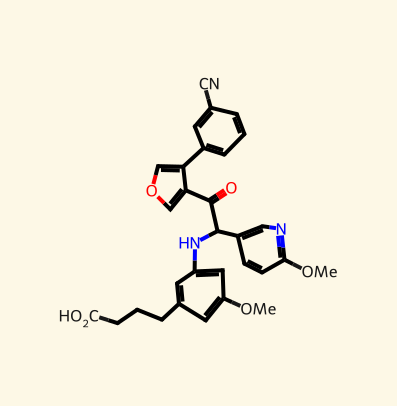 COc1cc(CCCC(=O)O)cc(NC(C(=O)c2cocc2-c2cccc(C#N)c2)c2ccc(OC)nc2)c1